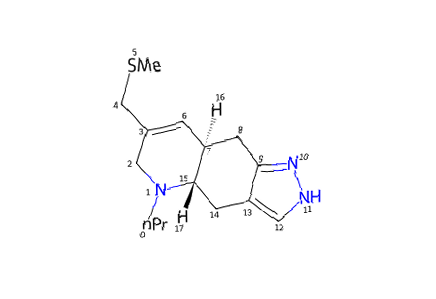 CCCN1CC(CSC)=C[C@H]2Cc3n[nH]cc3C[C@@H]21